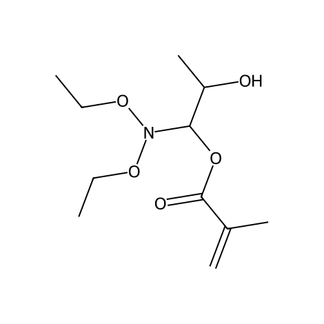 C=C(C)C(=O)OC(C(C)O)N(OCC)OCC